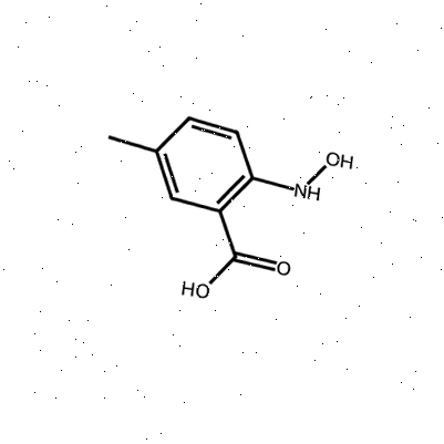 Cc1ccc(NO)c(C(=O)O)c1